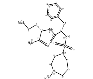 CSCC[C@H](NC(=O)[C@H](Cc1ccccc1)NS(=O)(=O)N1CCCN(C)CC1)C(N)=O